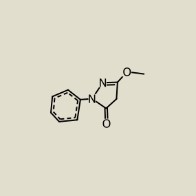 COC1=NN(c2ccccc2)C(=O)C1